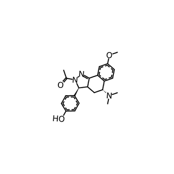 COc1ccc2c(c1)C1=NN(C(C)=O)[C@H](c3ccc(O)cc3)C1C[C@H]2N(C)C